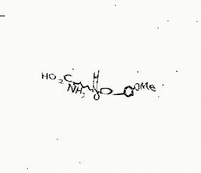 COc1ccc(COC(=O)NCCCC[C@H](N)C(=O)O)cc1